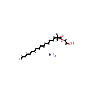 CCCCCCCCCCCCCCCCC(C)(C)C(=O)OCCO.N